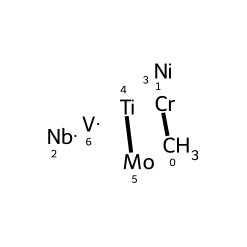 [CH3][Cr].[Nb].[Ni].[Ti][Mo].[V]